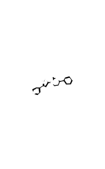 O=C1OC(c2ccccc2)CCN1c1cc(-c2ccncc2)n[nH]1